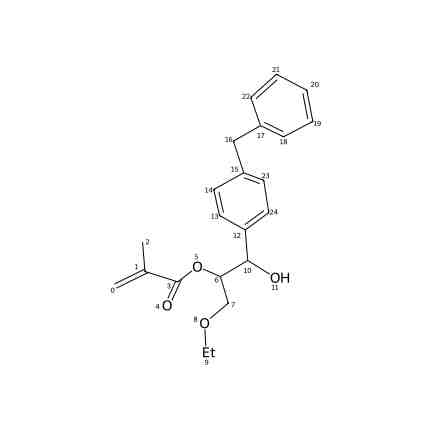 C=C(C)C(=O)OC(COCC)C(O)c1ccc(Cc2ccccc2)cc1